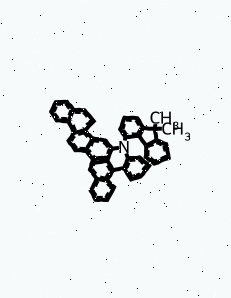 CC1(C)c2ccccc2-c2c(N(c3ccc4ccc5c6ccccc6ccc5c4c3)c3ccccc3-c3cccc4ccccc34)cccc21